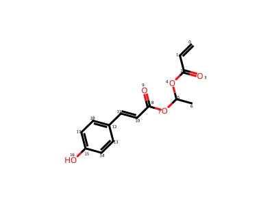 C=CC(=O)OC(C)OC(=O)C=Cc1ccc(O)cc1